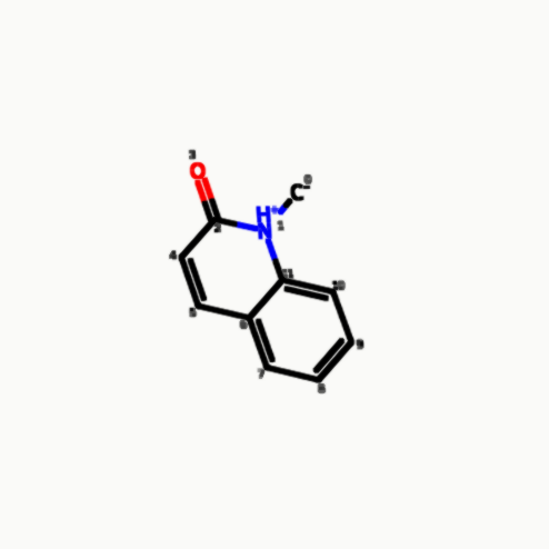 [CH2-][NH+]1C(=O)C=Cc2ccccc21